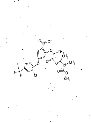 COC(=O)N(C)C(C)OC(=O)C(C)Oc1cc(Oc2ccc(C(F)(F)F)cc2Cl)ccc1[N+](=O)[O-]